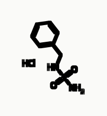 Cl.NS(=O)(=O)NCc1ccccc1